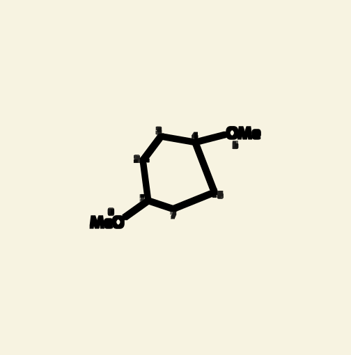 COC1[CH]CC(OC)[CH]C1